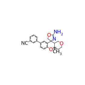 C[C@]12CCOCC1C1(COC(N)=N1)c1cc(-c3cccc(C#N)c3)ccc1O2